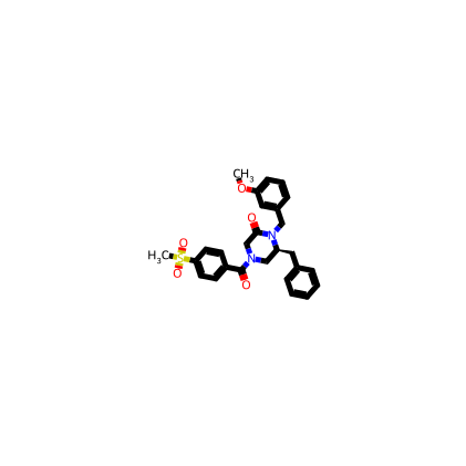 COc1cccc(CN2C(=O)CN(C(=O)c3ccc(S(C)(=O)=O)cc3)C[C@@H]2Cc2ccccc2)c1